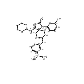 O=C1N=C(NC2CCCCC2)C2(CCN(Cc3cccc(B(O)O)c3)CC2)N1c1cccc(F)c1